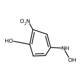 O=[N+]([O-])c1cc(NO)ccc1O